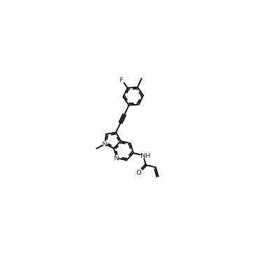 C=CC(=O)Nc1cnc2c(c1)c(C#Cc1ccc(C)c(F)c1)cn2C